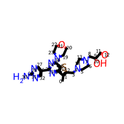 Cc1c(CN2CCN(CC(O)C=O)CC2)sc2c(N3CCOCC3)nc(-c3cnc(N)nc3)nc12